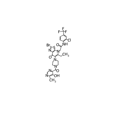 CCc1c(N2CCN(C(=O)c3ncnc(C)c3O)CC2)c(=O)c2nc(Br)sc2n1CC(=O)Nc1ccc(C(F)(F)F)cc1Cl